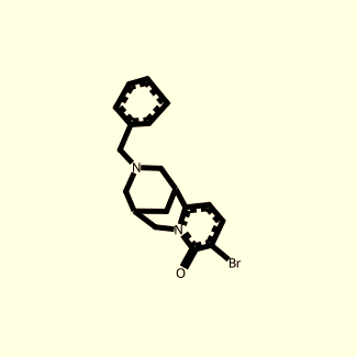 O=c1c(Br)ccc2n1CC1CC2CN(Cc2ccccc2)C1